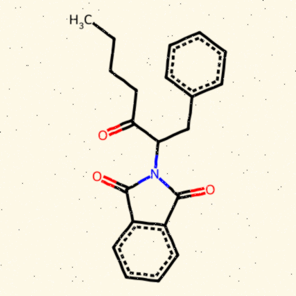 CCCCC(=O)C(Cc1ccccc1)N1C(=O)c2ccccc2C1=O